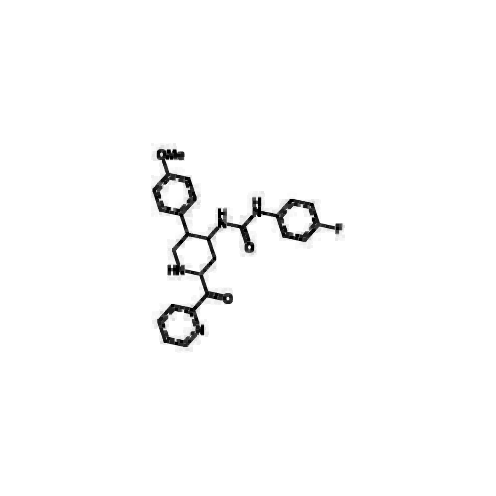 COc1ccc(C2CNC(C(=O)c3ccccn3)CC2NC(=O)Nc2ccc(F)cc2)cc1